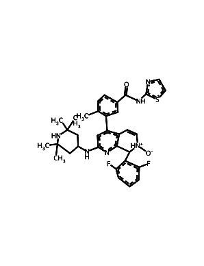 Cc1ccc(C(=O)Nc2nccs2)cc1-c1cc(NC2CC(C)(C)NC(C)(C)C2)nc2c1C=C[NH+]([O-])C2c1c(F)cccc1F